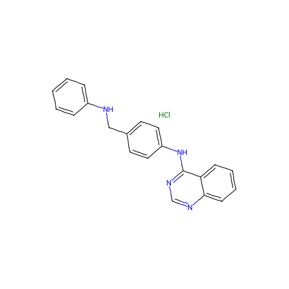 Cl.c1ccc(NCc2ccc(Nc3ncnc4ccccc34)cc2)cc1